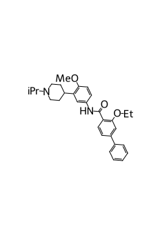 CCOc1cc(-c2ccccc2)ccc1C(=O)Nc1ccc(OC)c(C2CCN(C(C)C)CC2)c1